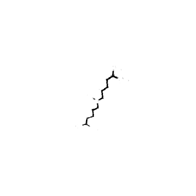 CC(C)CCCCN(N)CCCCC(C)C